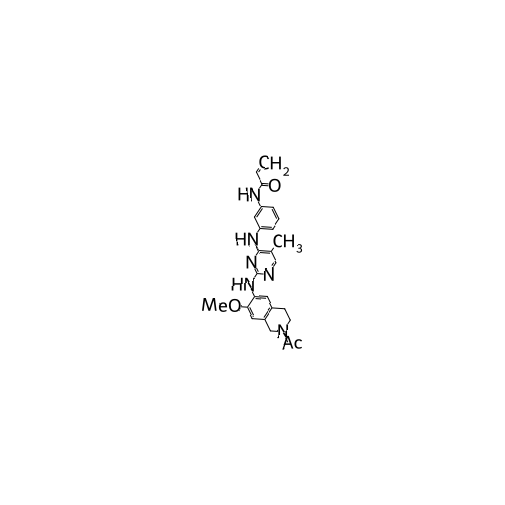 C=CC(=O)Nc1cccc(Nc2nc(Nc3cc4c(cc3OC)CN(C(C)=O)CC4)ncc2C)c1